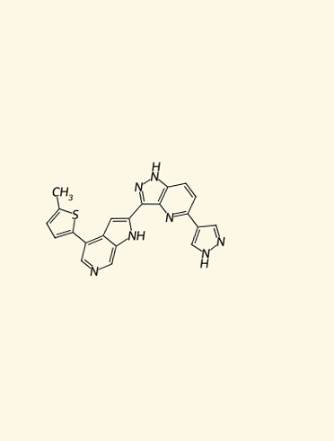 Cc1ccc(-c2cncc3[nH]c(-c4n[nH]c5ccc(-c6cn[nH]c6)nc45)cc23)s1